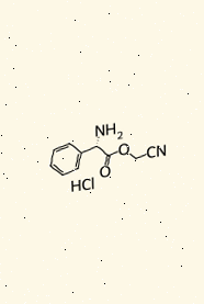 Cl.N#CCOC(=O)[C@@H](N)c1ccccc1